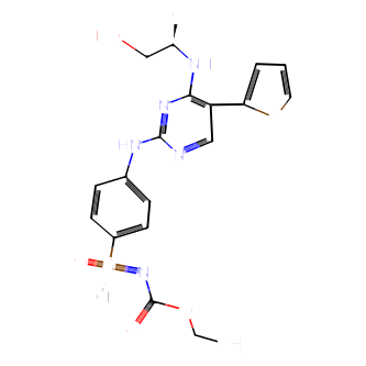 CCOC(=O)N=[S@@](C)(=O)c1ccc(Nc2ncc(-c3cccs3)c(N[C@H](C)CO)n2)cc1